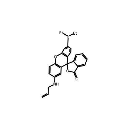 C=CCNc1ccc2c(c1)C1(OC(=O)c3ccccc31)c1ccc(N(CC)CC)cc1O2